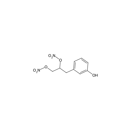 O=[N+]([O-])OCC(Cc1cccc(O)c1)O[N+](=O)[O-]